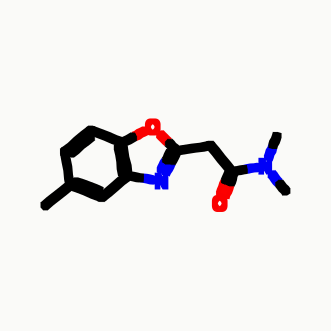 Cc1ccc2oc(CC(=O)N(C)C)nc2c1